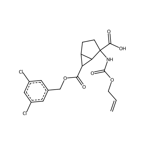 C=CCOC(=O)NC1(C(=O)O)CCC2C(C(=O)OCc3cc(Cl)cc(Cl)c3)C21